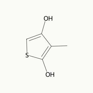 Cc1c(O)csc1O